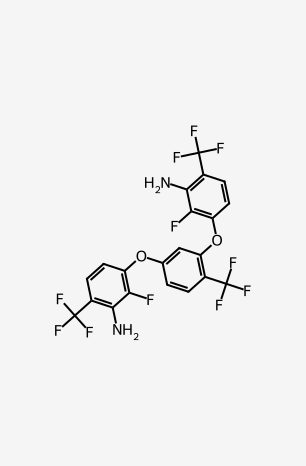 Nc1c(C(F)(F)F)ccc(Oc2ccc(C(F)(F)F)c(Oc3ccc(C(F)(F)F)c(N)c3F)c2)c1F